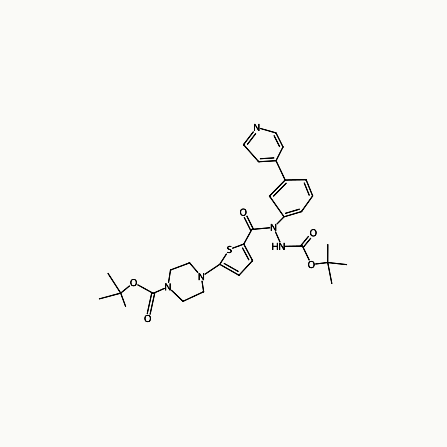 CC(C)(C)OC(=O)NN(C(=O)c1ccc(N2CCN(C(=O)OC(C)(C)C)CC2)s1)c1cccc(-c2ccncc2)c1